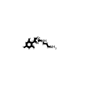 Cc1cc(C)c(-c2csc(NCCCN)n2)c(C)c1